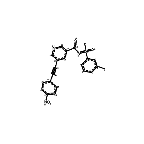 Cc1cccc(S(C)(=O)=NC(=O)c2cncc(C#Cc3ccc([N+](=O)[O-])cc3)c2)c1